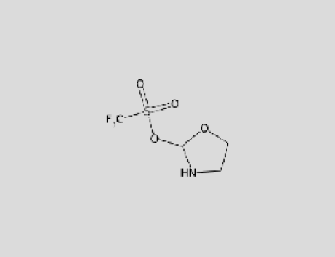 O=S(=O)(OC1NCCO1)C(F)(F)F